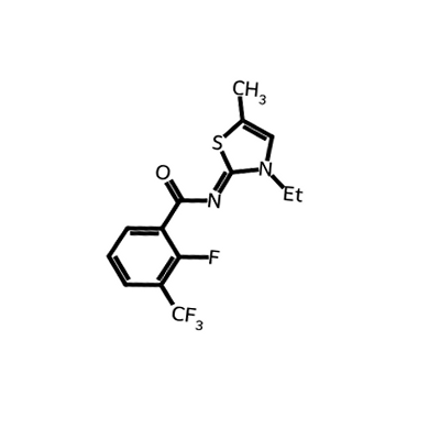 CCn1cc(C)s/c1=N\C(=O)c1cccc(C(F)(F)F)c1F